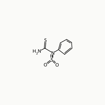 NC(=S)N(c1ccccc1)[SH](=O)=O